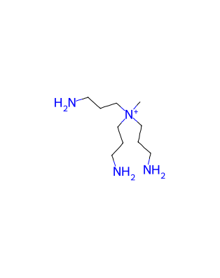 C[N+](CCCN)(CCCN)CCCN